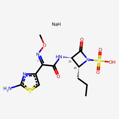 CCC[C@@H]1[C@H](NC(=O)/C(=N\OC)c2csc(N)n2)C(=O)N1S(=O)(=O)O.[NaH]